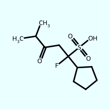 CC(C)C(=O)CC(F)(C1CCCC1)S(=O)(=O)O